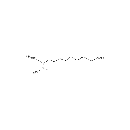 CCCCCCCCCCCCCCCCCCC(CCCCC)N(C)CCC